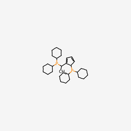 CC(C1=CC=CC1P(C1CCCCC1)C1CCCCC1)P(C1CCCCC1)C1CCCCC1